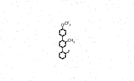 Cc1cc(-c2ccccc2F)ccc1-c1ccc(OC(F)(F)F)cc1